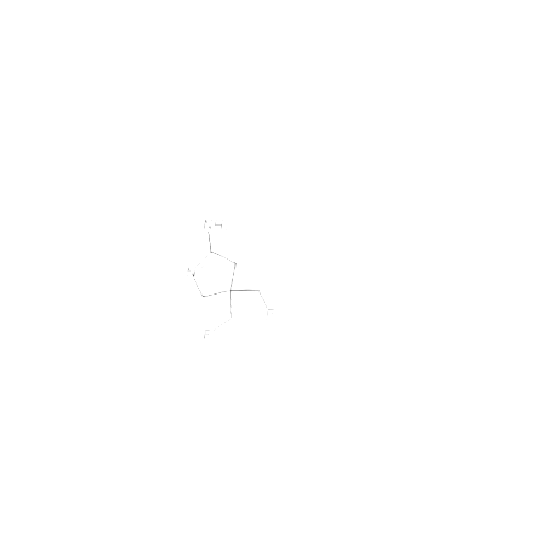 NC1=NCC(CF)(CF)C1